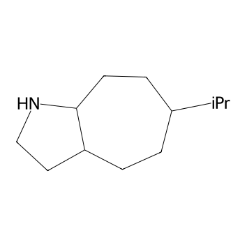 CC(C)C1CCC2CCNC2CC1